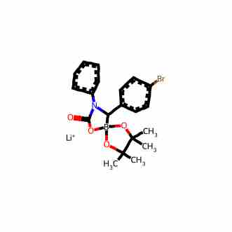 CC1(C)O[B-]2(OC(=O)N(c3ccccc3)C2c2ccc(Br)cc2)OC1(C)C.[Li+]